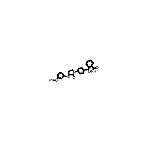 CC(C)Oc1cccc(NC2CCN(c3ccc(-c4n[nH]c(=O)c5ccccc45)cc3)C2=O)c1